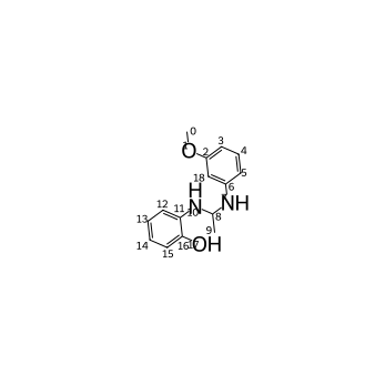 COc1cccc(NC(C)Nc2ccccc2O)c1